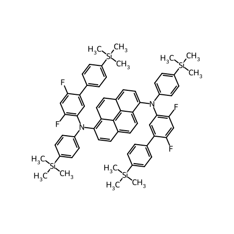 C[Si](C)(C)c1ccc(-c2cc(N(c3ccc([Si](C)(C)C)cc3)c3ccc4ccc5c(N(c6ccc([Si](C)(C)C)cc6)c6cc(-c7ccc([Si](C)(C)C)cc7)c(F)cc6F)ccc6ccc3c4c65)c(F)cc2F)cc1